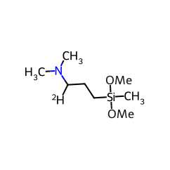 [2H]C(CC[Si](C)(OC)OC)N(C)C